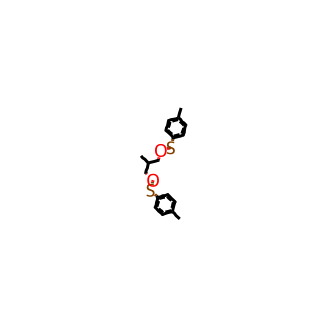 Cc1ccc(SOCC(C)COSc2ccc(C)cc2)cc1